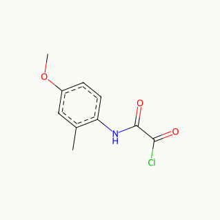 COc1ccc(NC(=O)C(=O)Cl)c(C)c1